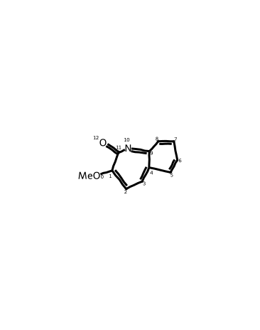 COc1ccc2ccccc2nc1=O